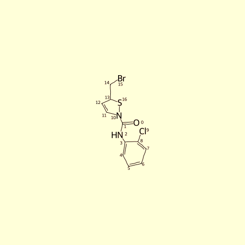 O=C(Nc1ccccc1Cl)N1C=CC(CBr)S1